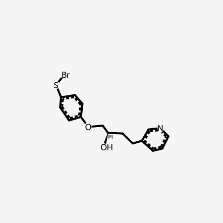 O[C@H](CCc1cccnc1)COc1ccc(SBr)cc1